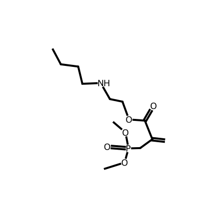 C=C(CP(=O)(OC)OC)C(=O)OCCNCCCC